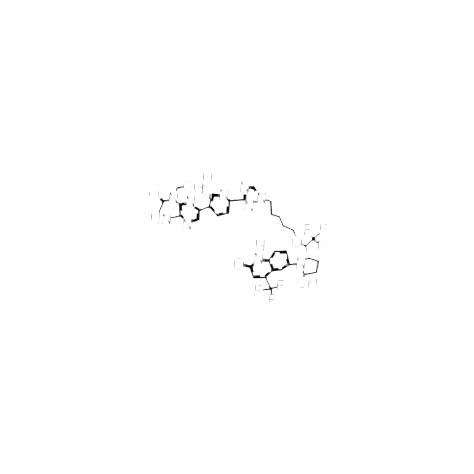 CCN1C(=O)CNc2ncc(-c3ccc(-c4ncn(CCCCCOC([C@H]5CC[C@H](C)N5c5ccc6[nH]c(=O)cc(C(F)(F)F)c6c5)C(F)(F)F)n4)nc3C)nc21